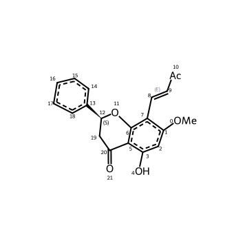 COc1cc(O)c2c(c1/C=C/C(C)=O)O[C@H](c1ccccc1)CC2=O